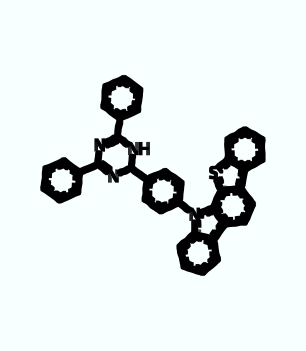 c1ccc(C2=NC(c3ccc(-n4c5ccccc5c5ccc6c7ccccc7sc6c54)cc3)NC(c3ccccc3)=N2)cc1